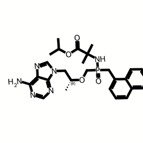 CC(C)OC(=O)C(C)(C)NP(=O)(CO[C@H](C)Cn1cnc2c(N)ncnc21)Cc1cccc2ccccc12